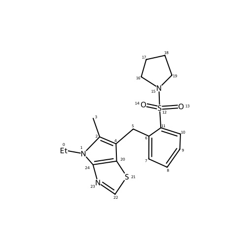 CCn1c(C)c(Cc2ccccc2S(=O)(=O)N2CCCC2)c2scnc21